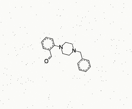 O=Cc1ccccc1N1CCN(Cc2ccccc2)CC1